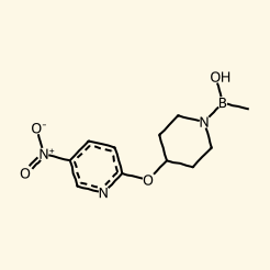 CB(O)N1CCC(Oc2ccc([N+](=O)[O-])cn2)CC1